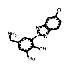 CC(C)(C)c1cc(CN)cc(-n2nc3ccc(Cl)cc3n2)c1O